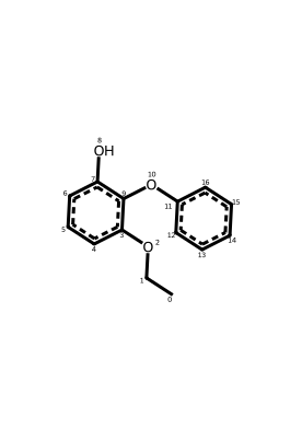 CCOc1cccc(O)c1Oc1ccccc1